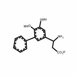 COc1cc(C(N)CC(=O)O)cc(-c2ccccc2)c1OC